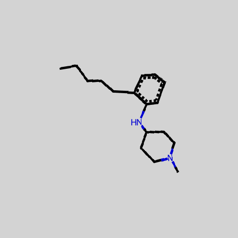 CCCCCc1ccccc1NC1CCN(C)CC1